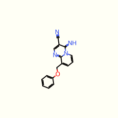 N#Cc1cnc2c(COc3ccccc3)cccn2c1=N